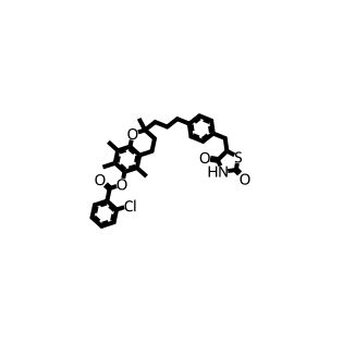 Cc1c(C)c2c(c(C)c1OC(=O)c1ccccc1Cl)CCC(C)(CCCc1ccc(CC3SC(=O)NC3=O)cc1)O2